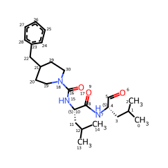 CC(C)C[C@@H]([C]=O)NC(=O)[C@H](CC(C)C)NC(=O)N1CCC(Cc2ccccc2)CC1